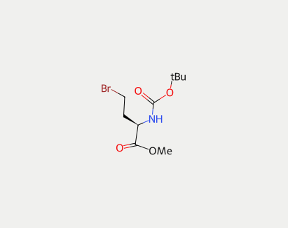 COC(=O)[C@@H](CCBr)NC(=O)OC(C)(C)C